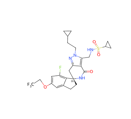 O=C1N[C@@]2(CCc3cc(OCC(F)(F)F)cc(F)c32)Cc2nn(CCC3CC3)c(CNS(=O)(=O)C3CC3)c21